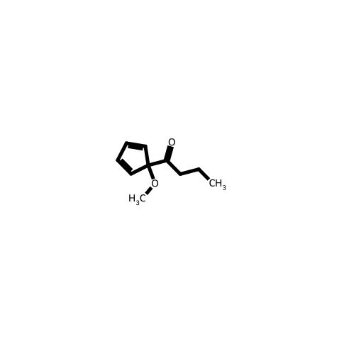 CCCC(=O)C1(OC)C=CC=C1